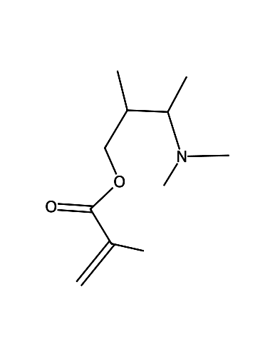 C=C(C)C(=O)OCC(C)C(C)N(C)C